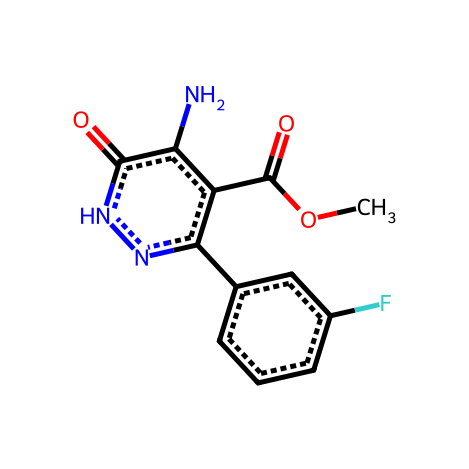 COC(=O)c1c(-c2cccc(F)c2)n[nH]c(=O)c1N